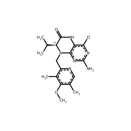 COc1c(C)cnc(CN2c3nc(N)nc(Cl)c3NC(=O)[C@@H]2C(C)C)c1C